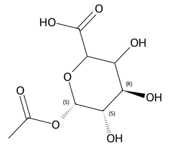 CC(=O)O[C@@H]1OC(C(=O)O)C(O)[C@@H](O)[C@@H]1O